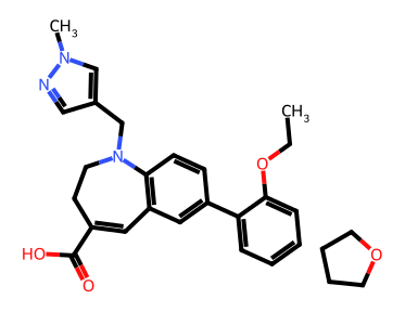 C1CCOC1.CCOc1ccccc1-c1ccc2c(c1)C=C(C(=O)O)CCN2Cc1cnn(C)c1